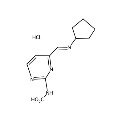 Cl.O=C(O)Nc1nccc(/C=N/C2CCCC2)n1